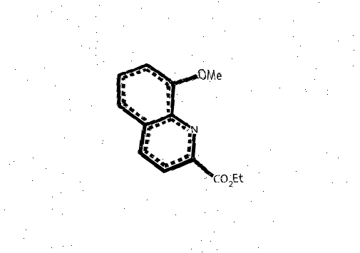 CCOC(=O)c1ccc2cccc(OC)c2n1